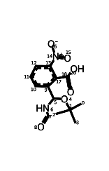 CC(C)(C)OC(NC=O)c1cccc([N+](=O)[O-])c1C(=O)O